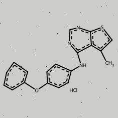 Cc1csc2ncnc(Nc3ccc(Oc4ccccc4)cc3)c12.Cl